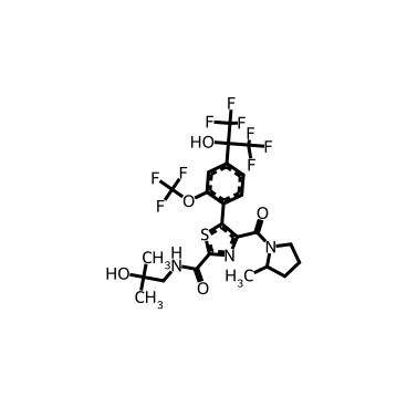 CC1CCCN1C(=O)c1nc(C(=O)NCC(C)(C)O)sc1-c1ccc(C(O)(C(F)(F)F)C(F)(F)F)cc1OC(F)(F)F